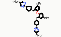 CCCCCCCCCc1cnc([C@H]2CC[C@H](Cc3cc(CCC)ccc3Oc3ccc(CCC)cc3C[C@H]3CC[C@H](c4ncc(CCCCCCCCC)cn4)CC3)CC2)nc1